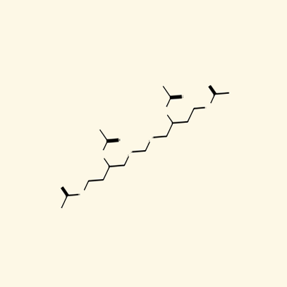 CC(=O)OCCC(C[SiH2]C[SiH2]CC(CCOC(C)=O)OC(C)=O)OC(C)=O